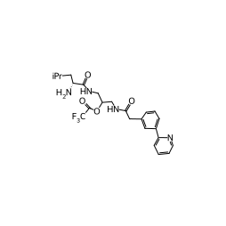 CC(C)C[C@@H](N)C(=O)NCC(CNC(=O)Cc1cccc(-c2ccccn2)c1)OC(=O)C(F)(F)F